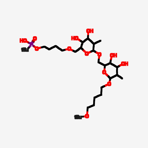 CC1C(OCC2OC(OCCCCCOC(C)(C)C)C(C)C(O)C2O)OC(COCCCCOP(=O)(O)C(C)(C)C)C(O)C1O